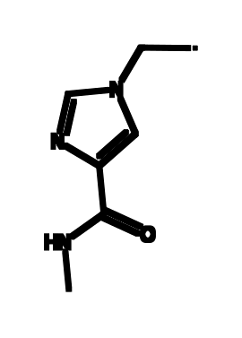 [CH2]Cn1cnc(C(=O)NC)c1